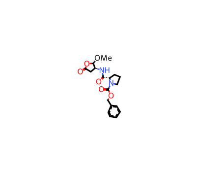 COC1OC(=O)C[C@@H]1NC(=O)[C@@H]1CCCN1C(=O)OCc1ccccc1